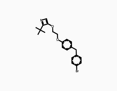 CC(C)(C)C1=NC=C1OCCOc1ccc(Cc2ccc(Br)cc2)cc1